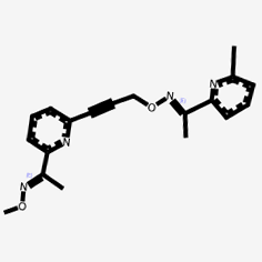 CO/N=C(\C)c1cccc(C#CCO/N=C(\C)c2cccc(C)n2)n1